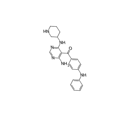 Nc1ncnc(NC2CCCNC2)c1C(=O)c1ccc(Nc2ccccc2)cc1